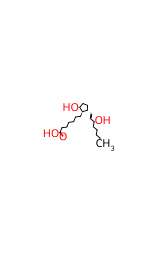 CCCCCC(O)C=C[C@H]1CCC(O)[C@@H]1CCCCCCC(=O)O